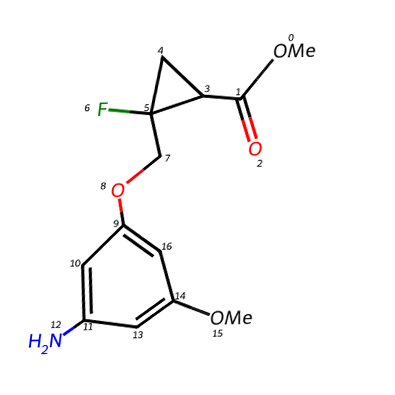 COC(=O)C1CC1(F)COc1cc(N)cc(OC)c1